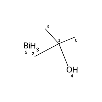 CC(C)(C)O.[BiH3]